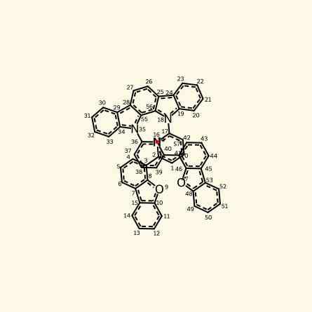 c1cc(-c2cccc3c2oc2ccccc23)nc(-n2c3ccccc3c3ccc4c5ccccc5n(-c5cccc(-c6cccc7c6oc6ccccc67)n5)c4c32)c1